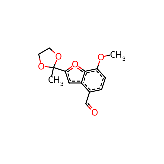 COc1ccc(C=O)c2cc(C3(C)OCCO3)oc12